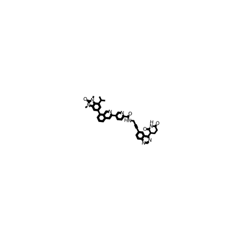 CC(C)c1cc(-c2cccc3cc(-c4ccc(C(=O)NCC#Cc5ccc6ncnc(C7CCC(=O)NC7=O)c6c5)nc4)ncc23)cc2c1n(C)c(=O)n2C